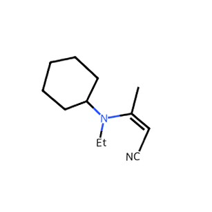 CCN(/C(C)=C\C#N)C1CCCCC1